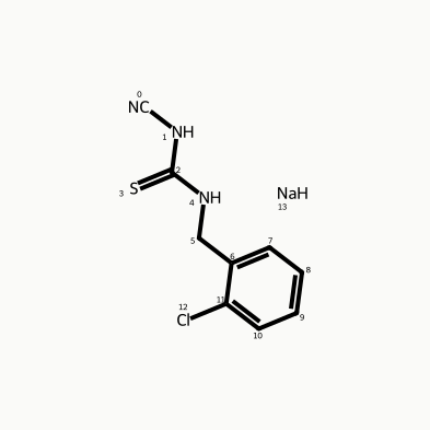 N#CNC(=S)NCc1ccccc1Cl.[NaH]